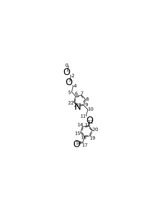 COCOCCc1ccc(CCOc2ccc(C=O)cc2)nc1